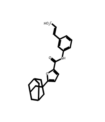 O=C(O)C=Cc1cccc(NC(=O)c2ccc(C34CC5CC(CC(C5)C3)C4)o2)c1